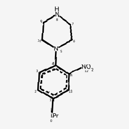 CC(C)c1ccc(N2CCNCC2)c([N+](=O)[O-])c1